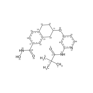 CC(C)(C)C(=O)Nc1cc(OC2CCc3ccc(C(=O)NO)cc3C2)ccn1